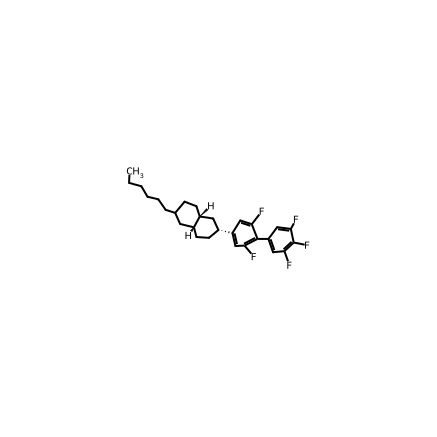 CCCCCCC1CC[C@@H]2C[C@H](c3cc(F)c(-c4cc(F)c(F)c(F)c4)c(F)c3)CC[C@@H]2C1